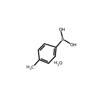 Cc1ccc(B(O)O)cc1.O